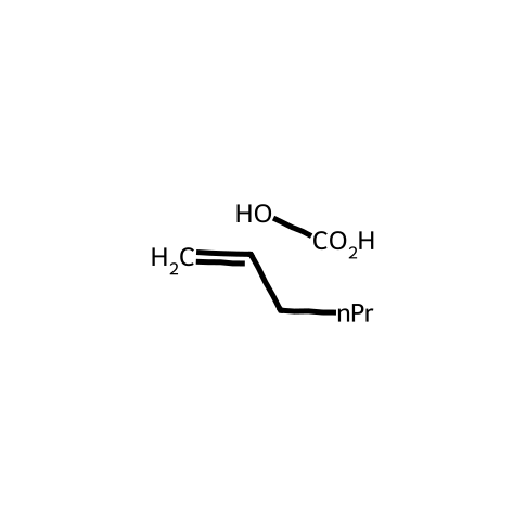 C=CCCCC.O=C(O)O